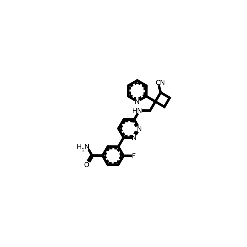 N#CC1CCC1(CNc1ccc(-c2cc(C(N)=O)ccc2F)nn1)c1ccccn1